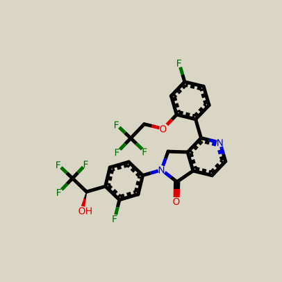 O=C1c2ccnc(-c3ccc(F)cc3OCC(F)(F)F)c2CN1c1ccc([C@@H](O)C(F)(F)F)c(F)c1